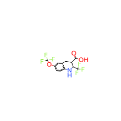 O=C(O)C1Cc2cc(OC(F)(F)F)ccc2NC1C(F)(F)F